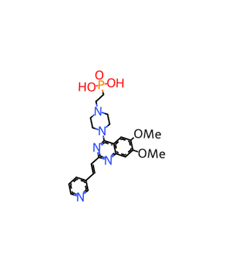 COc1cc2nc(/C=C/c3cccnc3)nc(N3CCN(CCP(=O)(O)O)CC3)c2cc1OC